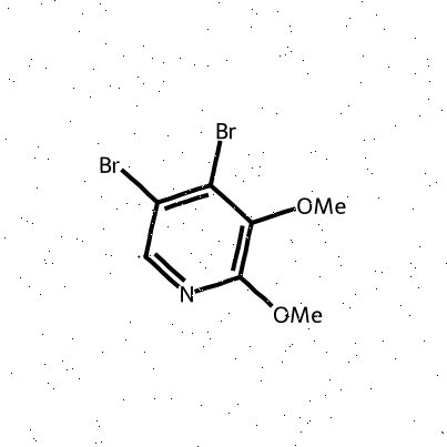 COc1n[c]c(Br)c(Br)c1OC